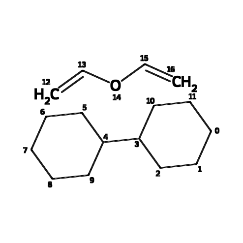 C1CCC(C2CCCCC2)CC1.C=COC=C